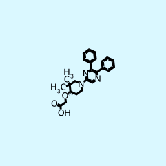 CC1(C)CN(c2cnc(-c3ccccc3)c(-c3ccccc3)n2)CC[C@H]1OCC(=O)O